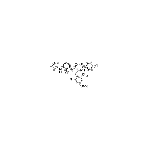 COc1cc(F)c([C@@H]2CN(c3nccc(NC4CCOC4)c3C(F)(F)F)C(=O)[C@H]2NC(=O)c2ccc(Cl)cc2)c(P)c1